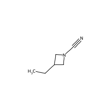 CCC1CN(C#N)C1